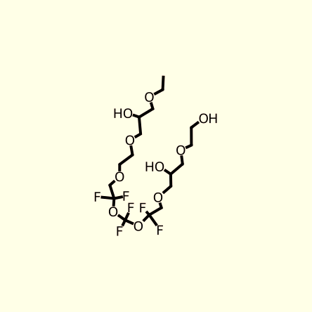 CCOCC(O)COCCOCC(F)(F)OC(F)(F)OC(F)(F)COCC(O)COCCO